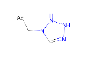 CC(=O)CN1C=NNN1